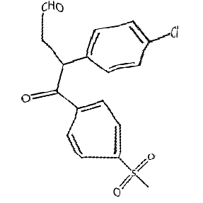 CS(=O)(=O)c1ccc(C(=O)C(CC=O)c2ccc(Cl)cc2)cc1